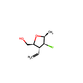 C=C[C@H]1[C@H](F)[C@H](C)O[C@@H]1CO